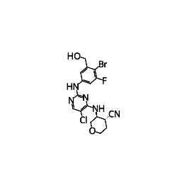 N#C[C@@H]1CCOC[C@H]1Nc1nc(Nc2cc(F)c(Br)c(CO)c2)ncc1Cl